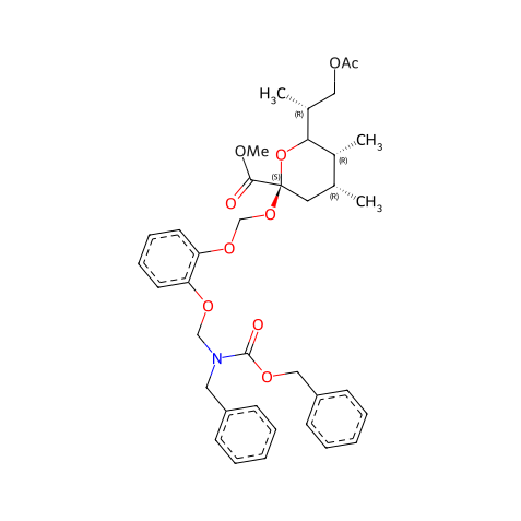 COC(=O)[C@@]1(OCOc2ccccc2OCN(Cc2ccccc2)C(=O)OCc2ccccc2)C[C@@H](C)[C@@H](C)C([C@H](C)COC(C)=O)O1